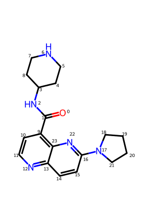 O=C(NC1CCNCC1)c1ccnc2ccc(N3CCCC3)nc12